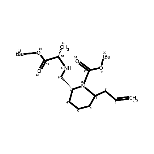 C=CCC1CCC[C@H](CN[C@@H](C)C(=O)OC(C)(C)C)N1C(=O)OC(C)(C)C